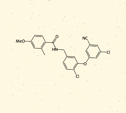 COc1ccc(C(=O)NCc2ccc(Cl)c(Oc3cc(Cl)cc(C#N)c3)c2)c(C)c1